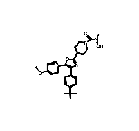 COc1ccc(-c2oc(C3CCN(C(=O)N(C)O)CC3)nc2-c2ccc(C(C)(C)C)cc2)cc1